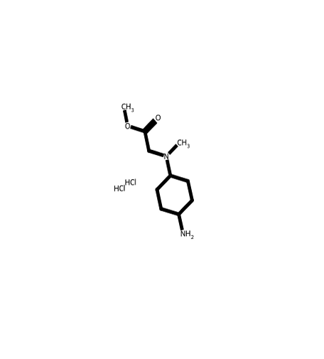 COC(=O)CN(C)C1CCC(N)CC1.Cl.Cl